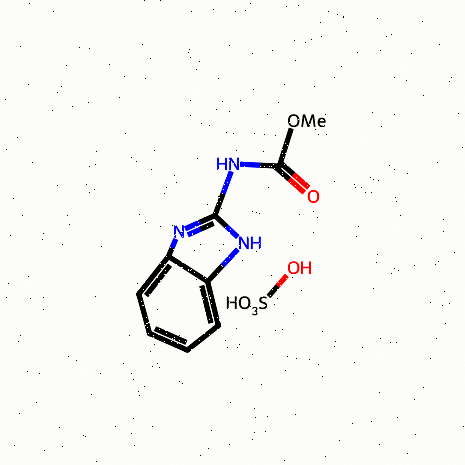 COC(=O)Nc1nc2ccccc2[nH]1.O=S(=O)(O)O